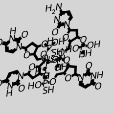 Nc1ccn(C2CC(O[PH](O)(O)S)C(CO[PH](O)(S)OC3CC(n4ccc(=O)[nH]c4=O)OC3CO[PH](O)(S)OC3CC(n4ccc(=O)[nH]c4=O)OC3CO[PH](O)(S)OC3CC(n4ccc(=O)[nH]c4=O)OC3COP(O)S)O2)c(=O)n1